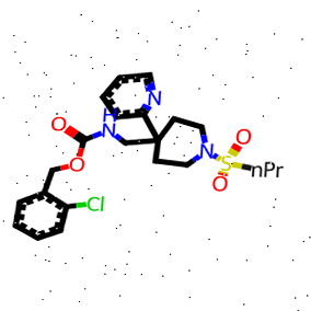 CCCS(=O)(=O)N1CCC(CNC(=O)OCc2ccccc2Cl)(c2ccccn2)CC1